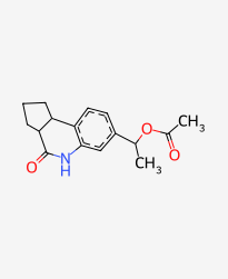 CC(=O)OC(C)c1ccc2c(c1)NC(=O)C1CCCC21